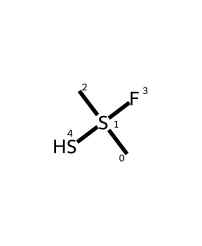 CS(C)(F)S